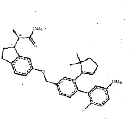 COC(=O)[C@H](C)[C@@H]1CCc2ccc(OCc3ccc(-c4cc(OC)ccc4F)c(C4=CCCC4(C)C)c3)cc21